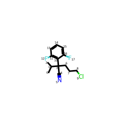 CC(C)C(C#N)(CCCCl)c1c(F)cccc1F